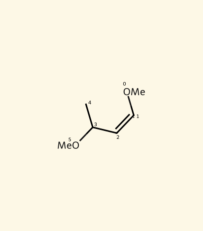 CO/[C]=C\C(C)OC